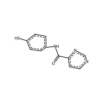 O=C(Nc1ccc(S)cc1)c1ccncn1